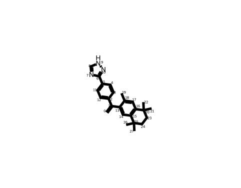 C=C(c1ccc(-c2nc[nH]n2)cc1)c1cc2c(cc1C)C(C)(C)CCC2(C)C